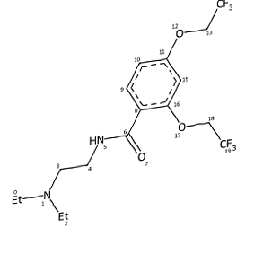 CCN(CC)CCNC(=O)c1ccc(OCC(F)(F)F)cc1OCC(F)(F)F